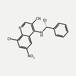 CC[C@@H](Nc1c(C#N)cnc2c(Cl)cc([N+](=O)[O-])cc12)c1ccccc1